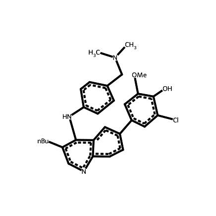 CCCCc1cnc2ccc(-c3cc(Cl)c(O)c(OC)c3)cc2c1Nc1ccc(CN(C)C)cc1